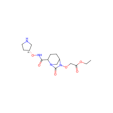 CCOC(=O)CON1C(=O)N2CC1CCC2C(=O)NO[C@@H]1CCNC1